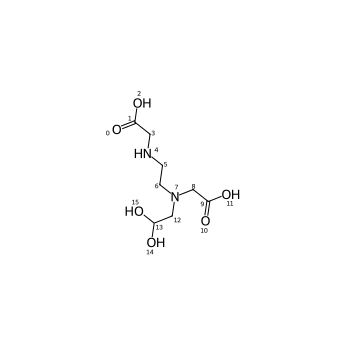 O=C(O)CNCCN(CC(=O)O)CC(O)O